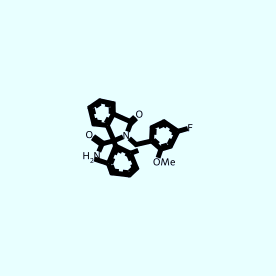 COc1cc(F)ccc1CN1C(=O)c2ccccc2C1(C(N)=O)c1c(C)cccc1C